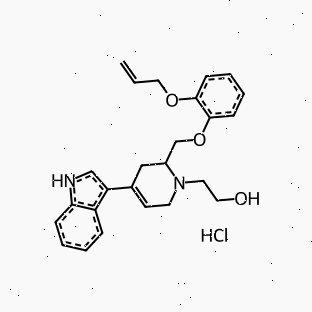 C=CCOc1ccccc1OCC1CC(c2c[nH]c3ccccc23)=CCN1CCO.Cl